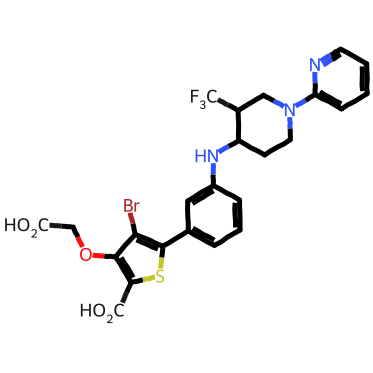 O=C(O)COc1c(C(=O)O)sc(-c2cccc(NC3CCN(c4ccccn4)CC3C(F)(F)F)c2)c1Br